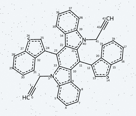 C#CCn1c2ccccc2c2c(-c3csc4ccccc34)c3c(c(-c4csc5ccccc45)c21)c1ccccc1n3CC#C